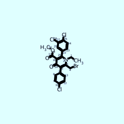 CCn1c(CBr)c(-c2ccc(Cl)cc2)c(=O)c(C(=O)OC)c1-c1ccc(Cl)c(Cl)c1